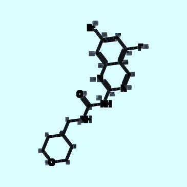 O=C(NCC1CCOCC1)Nc1ncc2c(F)cc(Br)cc2n1